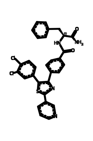 NC(=O)[C@H](Cc1ccccc1)NC(=O)c1ccc(-c2nc(-c3cccnc3)sc2-c2ccc(Cl)c(Cl)c2)cc1